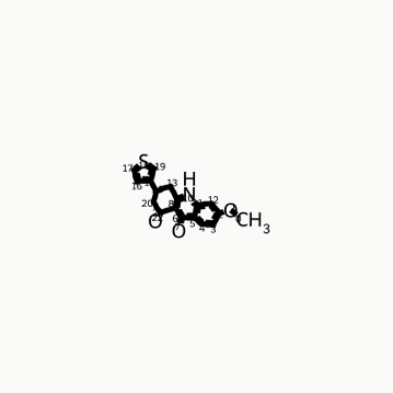 COc1ccc2c(=O)c3c([nH]c2c1)CC(c1ccsc1)CC3=O